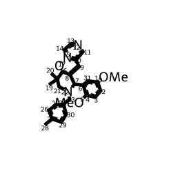 COc1ccc(OC)c(C2C(=Cc3cnccn3)C(=O)C(C)(C)CN2Cc2ccc(C)cc2)c1